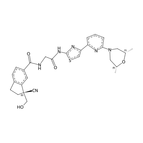 C[C@@H]1CN(c2cccc(-c3csc(NC(=O)CNC(=O)c4ccc5c(c4)[C@](C#N)(CO)CC5)n3)n2)C[C@H](C)O1